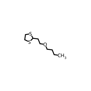 CCCCOCCC1SCCS1